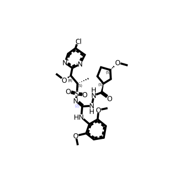 COc1cccc(OC)c1N/C(=N/S(=O)(=O)[C@@H](C)[C@H](OC)c1ncc(Cl)cn1)NNC(=O)[C@H]1CC[C@H](OC)C1